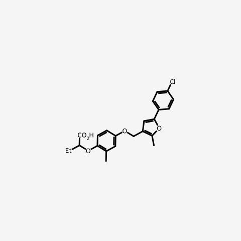 CCC(Oc1ccc(OCc2cc(-c3ccc(Cl)cc3)oc2C)cc1C)C(=O)O